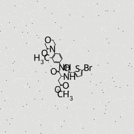 COC(=O)CC(NC(=O)c1ccc(Br)s1)C(=O)Nc1ccc(N2CCOCC2=O)c(C)c1